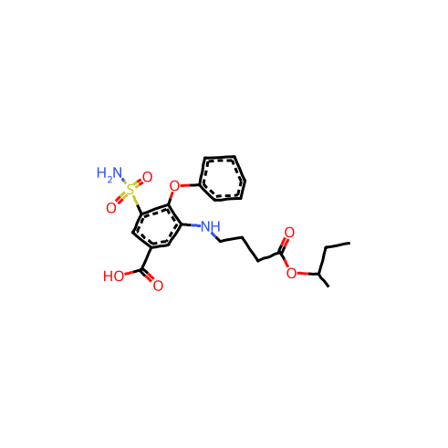 CCC(C)OC(=O)CCCNc1cc(C(=O)O)cc(S(N)(=O)=O)c1Oc1ccccc1